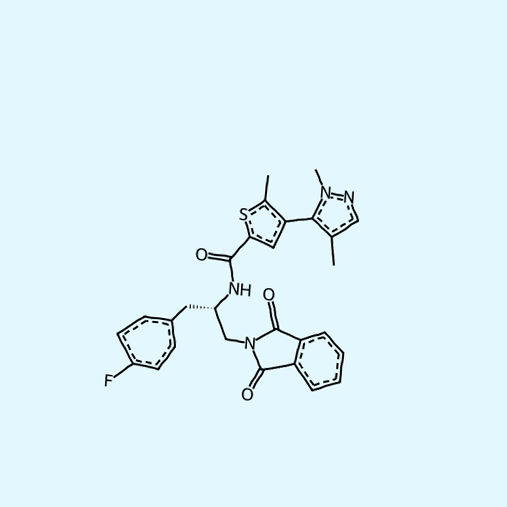 Cc1cnn(C)c1-c1cc(C(=O)N[C@@H](Cc2ccc(F)cc2)CN2C(=O)c3ccccc3C2=O)sc1C